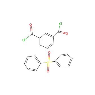 O=C(Cl)c1cccc(C(=O)Cl)c1.O=S(=O)(c1ccccc1)c1ccccc1